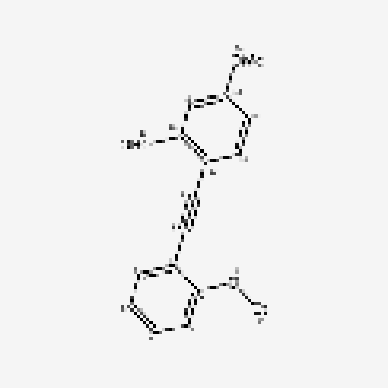 CCOc1ccccc1C#Cc1ccc(OC)cc1C=O